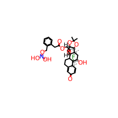 CC1(C)O[C@@H]2C[C@H]3C4CCC5=CC(=O)C=C[C@]5(C)[C@@]4(F)[C@@H](O)C[C@]3(C)[C@]2(C(=O)COC(=O)Cc2ccccc2CON(O)O)O1